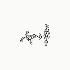 C=C1C[C@@H](CC[C@@]23OC4CC(OC5CCC(CC(=O)OC)O[C@@H]54)C(O2)[C@@]2(OC)OC(c4ccc(OC)cc4)OC32)C(=O)C1CCC1C[C@@H](C)C(=C)C(C[C@@H]2O[C@H]3CC(O[Si](C)(C)C(C)(C)C)C(CCO[Si](C)(C)C(C)(C)C)O[C@H]3[C@H](C)C2OC(C)=O)O1